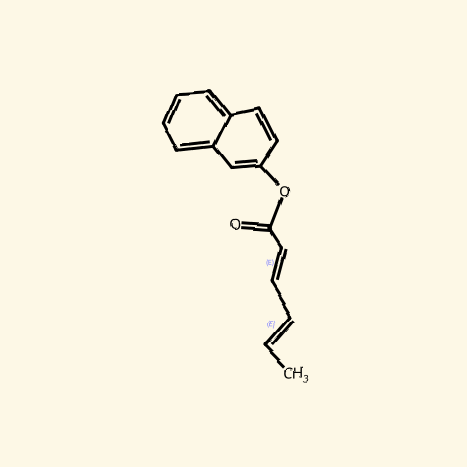 C/C=C/C=C/C(=O)Oc1ccc2ccccc2c1